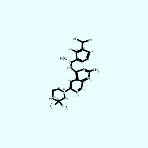 Cc1nc(N[C@H](C)c2cccc(C(F)F)c2F)c2cc(N3CCNC(C)(C)C3)ncc2n1